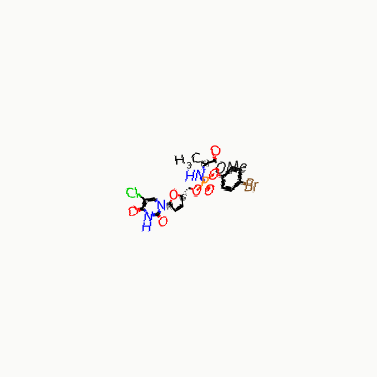 COC(=O)[C@H](C)NP(=O)(OC[C@@H]1C=C[C@H](n2cc(Cl)c(=O)[nH]c2=O)O1)Oc1ccc(Br)cc1